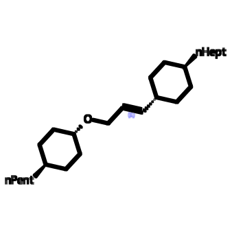 CCCCCCC[C@H]1CC[C@H](/C=C/CO[C@H]2CC[C@H](CCCCC)CC2)CC1